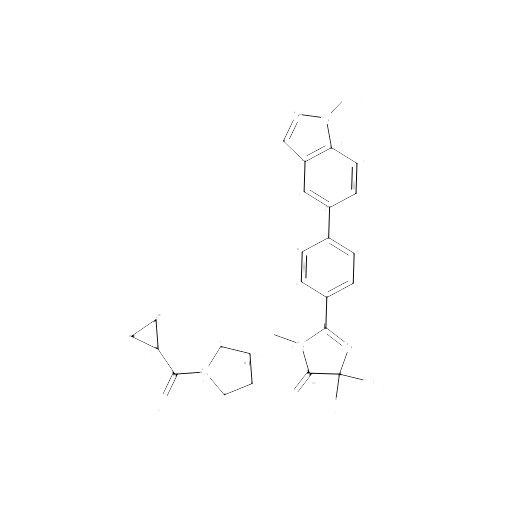 Cn1ncc2cc(-c3ccc(C4=NC(C)(C)C(=O)N4C[C@@H]4CCN(C(=O)C5CC5)C4)cc3)ccc21